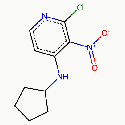 O=[N+]([O-])c1c(NC2CCCC2)ccnc1Cl